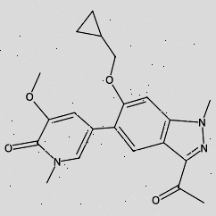 COc1cc(-c2cc3c(C(C)=O)nn(C)c3cc2OCC2CC2)cn(C)c1=O